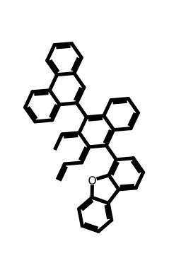 C=C/C=c1/c(-c2cccc3c2oc2ccccc23)c2ccccc2c(-c2cc3ccccc3c3ccccc23)/c1=C/C